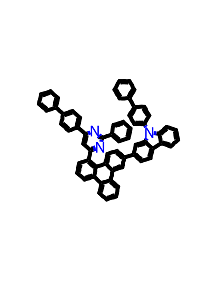 c1ccc(-c2ccc(-c3cc(-c4cccc5c6ccccc6c6cc(-c7ccc8c9ccccc9n(-c9ccc(-c%10ccccc%10)cc9)c8c7)ccc6c45)nc(-c4ccccc4)n3)cc2)cc1